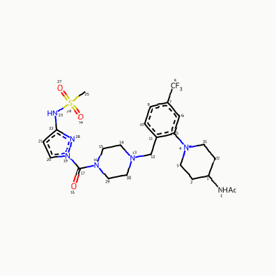 CC(=O)NC1CCN(c2cc(C(F)(F)F)ccc2CN2CCN(C(=O)n3ccc(NS(C)(=O)=O)n3)CC2)CC1